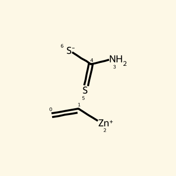 C=[CH][Zn+].NC(=S)[S-]